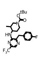 CC1CN(C(=O)OC(C)(C)C)CCC1Nc1nc(C(F)(F)F)cnc1Cc1ccc(F)cc1